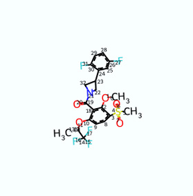 COc1c(S(C)(=O)=O)ccc(O[C@@H](C)C(F)(F)F)c1C(=O)N1CC(c2cc(F)ccc2F)C1